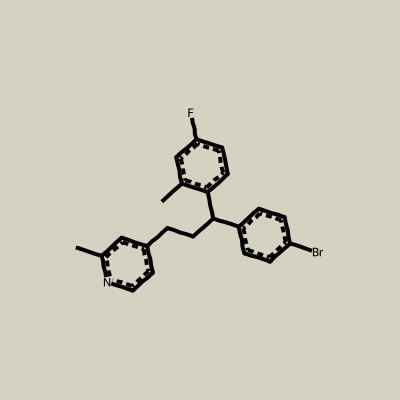 Cc1cc(CCC(c2ccc(Br)cc2)c2ccc(F)cc2C)ccn1